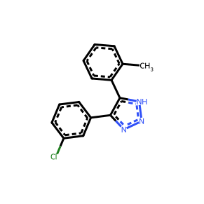 Cc1ccccc1-c1[nH]nnc1-c1cccc(Cl)c1